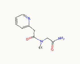 CCN(CC(N)=O)C(=O)[CH]c1ccccn1